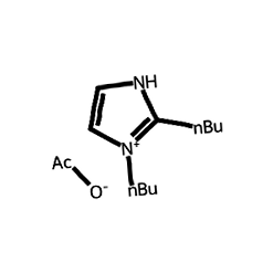 CC(=O)[O-].CCCCc1[nH]cc[n+]1CCCC